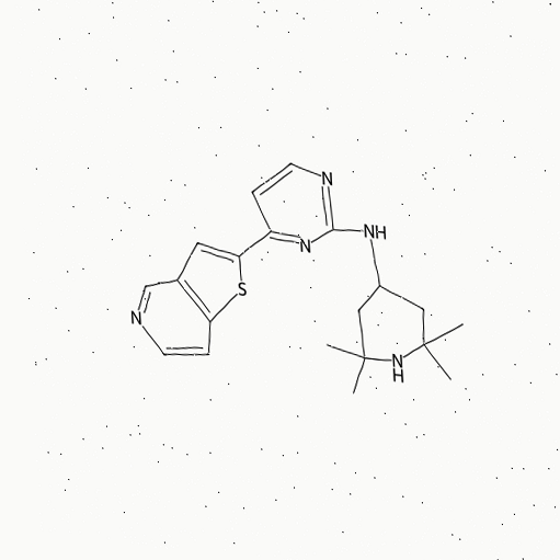 CC1(C)CC(Nc2nccc(-c3cc4cnccc4s3)n2)CC(C)(C)N1